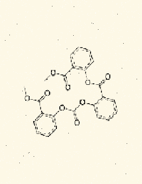 COC(=O)c1ccccc1OC(=O)Oc1ccccc1C(=O)Oc1ccccc1C(=O)OC